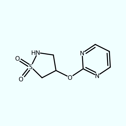 O=S1(=O)CC(Oc2ncccn2)CN1